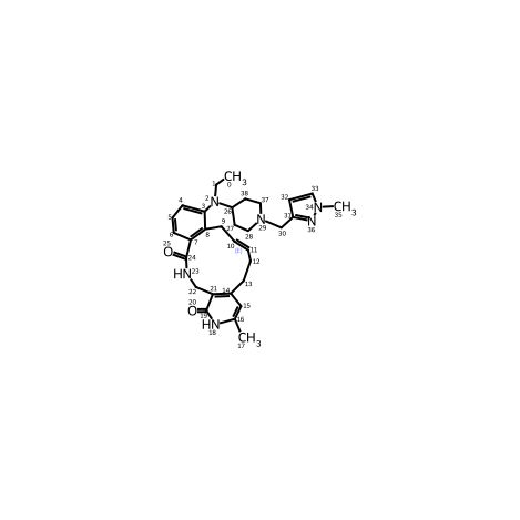 CCN(c1cccc2c1C/C=C/CCc1cc(C)[nH]c(=O)c1CNC2=O)C1CCN(Cc2ccn(C)n2)CC1